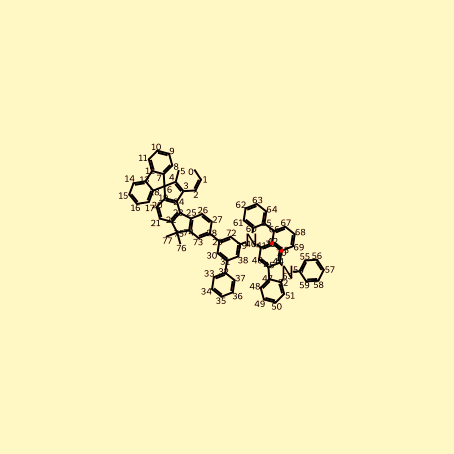 C/C=C\C1=C(C)C2(c3ccccc3-c3ccccc32)c2ccc3c(c21)-c1ccc(-c2cc(-c4ccccc4)cc(N(c4ccc5c(c4)c4ccccc4n5-c4ccccc4)c4ccccc4-c4ccccc4)c2)cc1C3(C)C